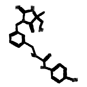 CC(C)CC1(C)NC(=N)N(Cc2cccc(CNC(=O)Nc3ccc(C#N)cc3)c2)C1=O